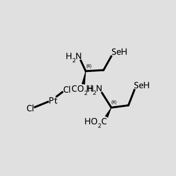 N[C@@H](C[SeH])C(=O)O.N[C@@H](C[SeH])C(=O)O.[Cl][Pt][Cl]